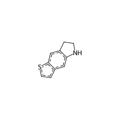 c1cc2cc3c(cc2s1)CCN3